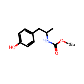 CC(Cc1ccc(O)cc1)NC(=O)OC(C)(C)C